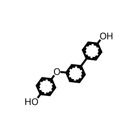 Oc1ccc(Oc2cccc(-c3ccc(O)cc3)c2)cc1